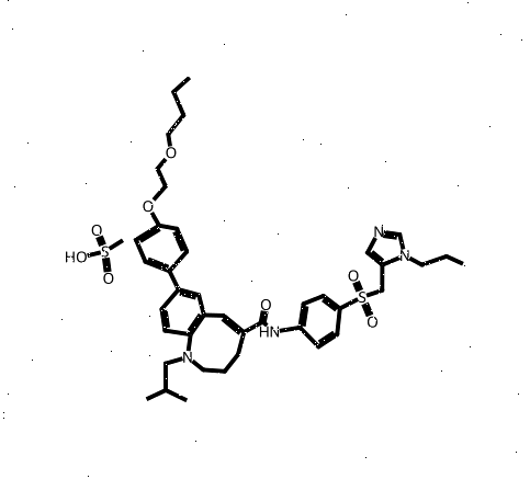 CCCCOCCOc1ccc(-c2ccc3c(c2)C=C(C(=O)Nc2ccc(S(=O)(=O)Cc4cncn4CCC)cc2)CCCN3CC(C)C)cc1.CS(=O)(=O)O